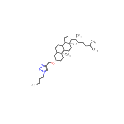 CCCCn1cc(CO[C@H]2CC[C@@]3(C)C(CCC4C3CC[C@@]3(C)C4CC[C@@H]3[C@H](C)CCCC(C)C)C2)nn1